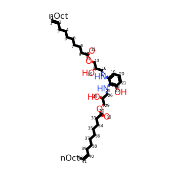 CCCCCCCCC=CCCCCCCCC(=O)OCC(O)CNc1cccc(O)c1NCC(O)COC(=O)CCCCCCC/C=C\CCCCCCCC